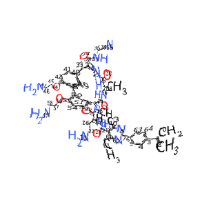 C=C(C)c1ccc(-c2nc(C)c(C(=O)NC(CCN)C(=O)N(C)C3C(=O)NC(C)C(=O)NC(C(=O)NCC#N)Cc4ccc(OCCN)c(c4)-c4cc3ccc4OCCN)c(C)n2)cc1